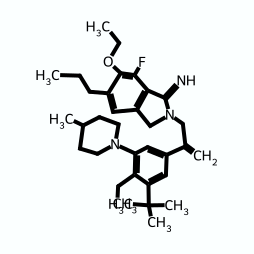 C=C(CN1Cc2cc(CCC)c(OCC)c(F)c2C1=N)c1cc(N2CCC(C)CC2)c(CC)c(C(C)(C)C)c1